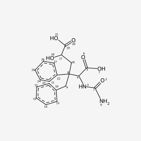 NC(=O)NC(C(=O)O)C(Cc1ccccc1)(CC(O)C(=O)O)c1ccccc1